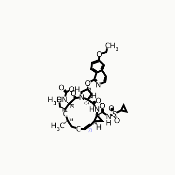 CCOc1ccc2c(O[C@@H]3C[C@H]4C(=O)N[C@]5(C(=O)NS(=O)(=O)C6CC6)C[C@H]5/C=C\CC[C@H](C)C[C@@H](CC)[C@H](NC(=O)O)C(=O)N4C3)nccc2c1